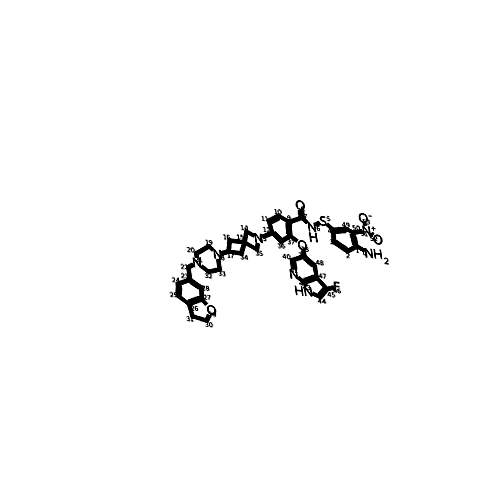 Nc1ccc(SNC(=O)c2ccc(N3CC4(CC(N5CCN(Cc6ccc7c(c6)OCC7)CC5)C4)C3)cc2Oc2cnc3[nH]cc(F)c3c2)cc1[N+](=O)[O-]